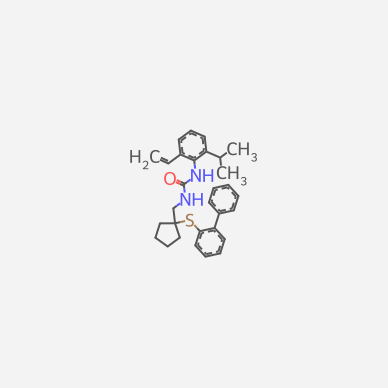 C=Cc1cccc(C(C)C)c1NC(=O)NCC1(Sc2ccccc2-c2ccccc2)CCCC1